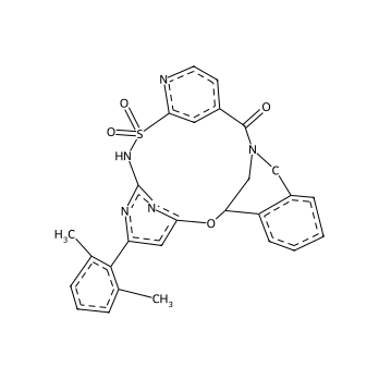 Cc1cccc(C)c1-c1cc2nc(n1)NS(=O)(=O)c1cc(ccn1)C(=O)N1Cc3ccccc3C(C1)O2